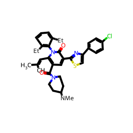 CCc1cccc(CC)c1-n1c(C=C(C)C)c(C(=O)N2CCC(NC)CC2)cc(-c2nc(-c3ccc(Cl)cc3)cs2)c1=O